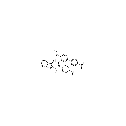 CCOc1ccc(-c2ccc(C(C)=O)cc2)cc1CN(C(=O)c1sc2ccccc2c1Cl)C1CCC(NC)CC1